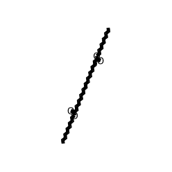 CCCCCCCCCCOC(=O)C=CCCCCCCCCCCCCCCCCC(=O)OCCCCCCCCCC